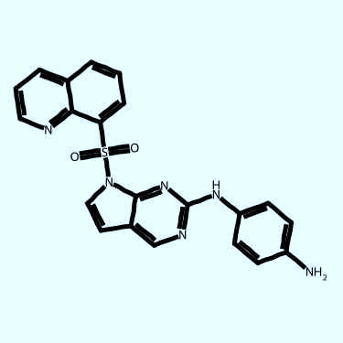 Nc1ccc(Nc2ncc3ccn(S(=O)(=O)c4cccc5cccnc45)c3n2)cc1